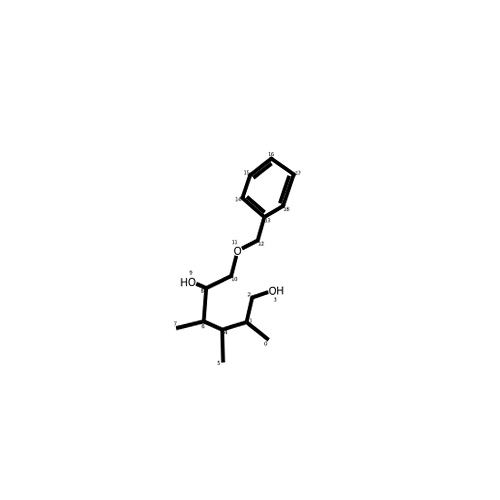 CC(CO)C(C)C(C)C(O)COCc1ccccc1